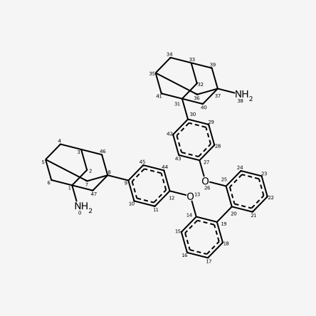 NC12CC3CC(C1)CC(c1ccc(Oc4ccccc4-c4ccccc4Oc4ccc(C56CC7CC(CC(N)(C7)C5)C6)cc4)cc1)(C3)C2